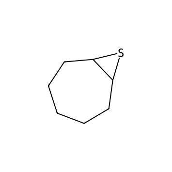 C1CCC2SC2CC1